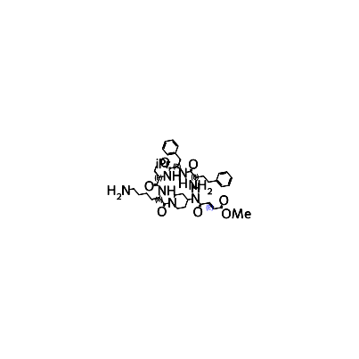 COC(=O)/C=C/C(=O)NC1CCN(C(=O)[C@@H](CCCCN)NC(=O)[C@@H](CC(C)C)NC(=O)[C@@H](Cc2ccccc2)NC(=O)[C@H](N)CCc2ccccc2)CC1